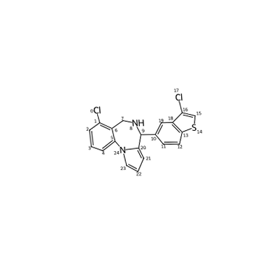 Clc1cccc2c1CNC(c1ccc3scc(Cl)c3c1)c1cccn1-2